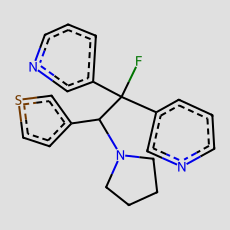 FC(c1cccnc1)(c1cccnc1)C(c1ccsc1)N1CCCC1